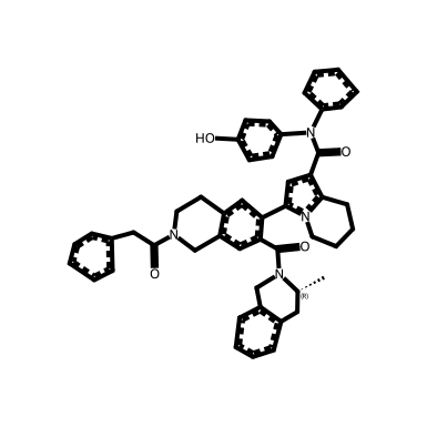 C[C@@H]1Cc2ccccc2CN1C(=O)c1cc2c(cc1-c1cc(C(=O)N(c3ccccc3)c3ccc(O)cc3)c3n1CCCC3)CCN(C(=O)Cc1ccccc1)C2